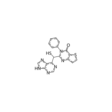 O=c1c2sccc2nc(C(S)c2ncnc3[nH]cnc23)n1-c1ccccc1